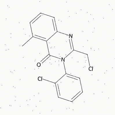 Cc1cccc2nc(CCl)n(-c3ccccc3Cl)c(=O)c12